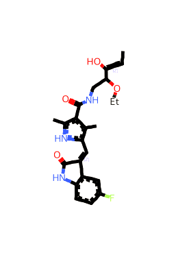 C/C=C(\O)C(CNC(=O)c1c(C)[nH]c(/C=C2\C(=O)Nc3ccc(F)cc32)c1C)OCC